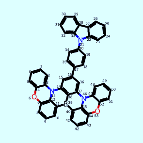 c1ccc2c(c1)Oc1cccc3c1N2c1cc(-c2ccc(-n4c5ccccc5c5ccccc54)cc2)cc2c1B3c1cccc3c1N2c1ccccc1O3